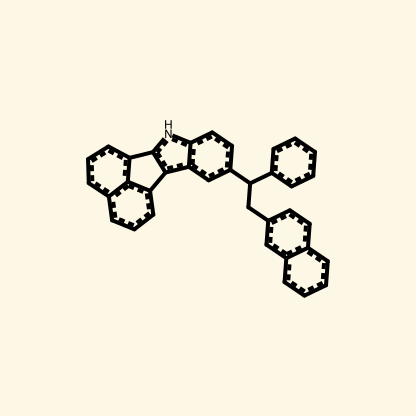 c1ccc(C(Cc2ccc3ccccc3c2)c2ccc3[nH]c4c(c3c2)-c2cccc3cccc-4c23)cc1